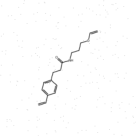 C=COCCCNC(=O)CCc1ccc(C=C)cc1